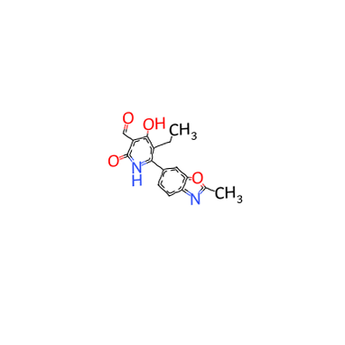 CCc1c(-c2ccc3nc(C)oc3c2)[nH]c(=O)c(C=O)c1O